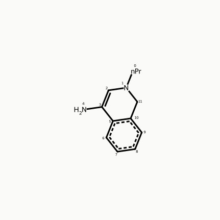 CCCN1C=C(N)c2ccccc2C1